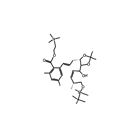 Cc1cc(C)c(C(=O)OCC[Si](C)(C)C)c(/C=C/C[C@@H]2OC(C)(C)OC2C(O)/C=C\[C@@H](C)CO[Si](C)(C)C(C)(C)C)c1